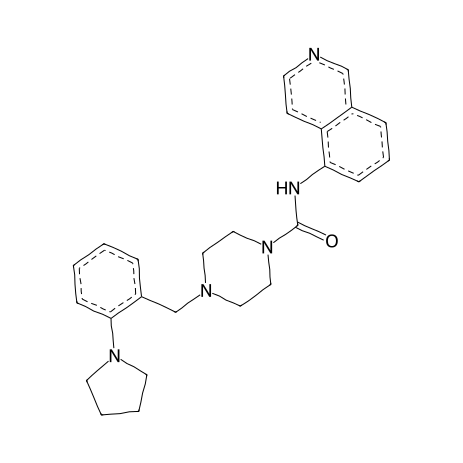 O=C(Nc1cccc2cnccc12)N1CCN(Cc2ccccc2N2CCCC2)CC1